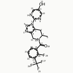 CC1Cc2c(nnn2-c2ncc(O)cn2)CN1C(=O)c1cccc(C(F)(F)F)c1F